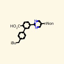 CCCCCCCCCc1cnc(-c2ccc(C(=O)O)c(-c3ccc(CC(C)CC)cc3)c2)nc1